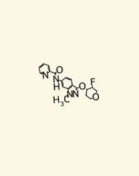 Cn1nc(OC2CCOCC2F)c2ccc(NC(=O)c3ccccn3)cc21